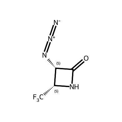 [N-]=[N+]=N[C@@H]1C(=O)N[C@@H]1C(F)(F)F